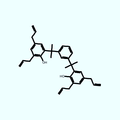 C=CCc1cc(CC=C)c(O)c(C(C)(C)c2cccc(C(C)(C)c3cc(CC=C)cc(CC=C)c3O)c2)c1